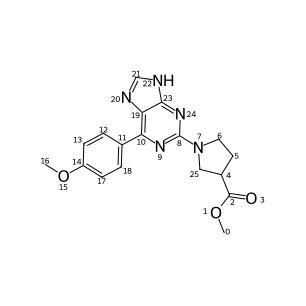 COC(=O)C1CCN(c2nc(-c3ccc(OC)cc3)c3nc[nH]c3n2)C1